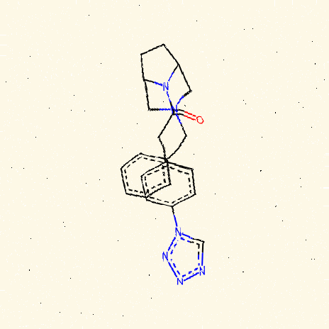 O=C(Cc1ccc(-n2cnnn2)cc1)N1C2CCC1CN(Cc1ccccc1)C2